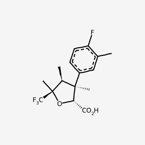 Cc1cc([C@@]2(C)[C@H](C(=O)O)O[C@@](C)(C(F)(F)F)[C@H]2C)ccc1F